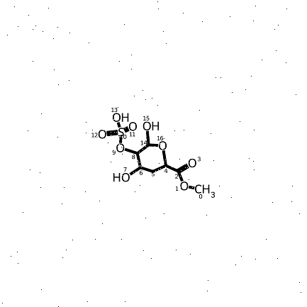 COC(=O)C1CC(O)C(OS(=O)(=O)O)C(O)O1